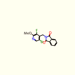 COc1ncc(Br)c(CN2C(=O)c3ccccc3C2=O)c1F